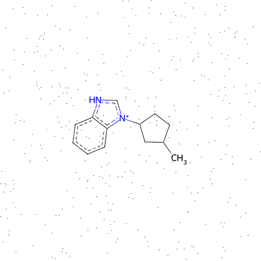 CC1CCC([n+]2c[nH]c3ccccc32)C1